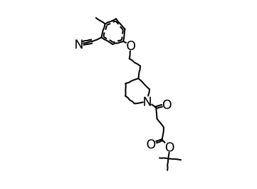 Cc1ccc(OCCC2CCCN(C(=O)CCC(=O)OC(C)(C)C)C2)cc1C#N